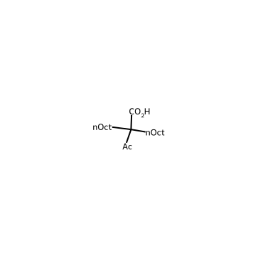 CCCCCCCCC(CCCCCCCC)(C(C)=O)C(=O)O